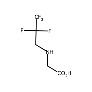 O=C(O)CNCC(F)(F)C(F)(F)F